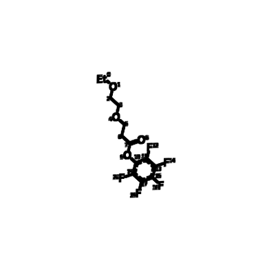 CCOCCOCCC(=O)Oc1c(F)c(F)c(F)c(F)c1F